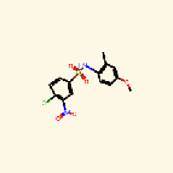 COc1ccc(NS(=O)(=O)c2ccc(Cl)c([N+](=O)[O-])c2)c(C)c1